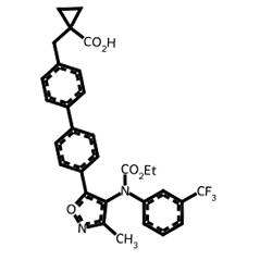 CCOC(=O)N(c1cccc(C(F)(F)F)c1)c1c(C)noc1-c1ccc(-c2ccc(CC3(C(=O)O)CC3)cc2)cc1